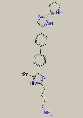 CCCc1[nH]c(CCCCN)nc1-c1ccc(-c2ccc(-c3cnc([C@@H]4CCCN4)[nH]3)cc2)cc1